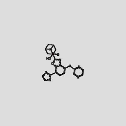 O=C(O)N1C2CC1CN(c1nc3c(Oc4cnccn4)ccc(-c4nccs4)c3o1)C2